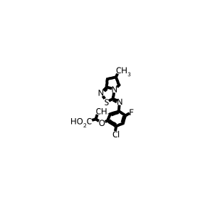 CC1Cc2nsc(=Nc3cc(OC(C)C(=O)O)c(Cl)cc3F)n2C1